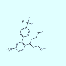 COCCN(CCOC)c1ccc(N)cc1-c1ccc(C(F)(F)F)cc1